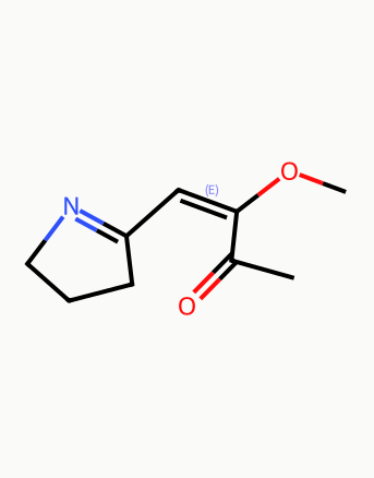 CO/C(=C/C1=NCCC1)C(C)=O